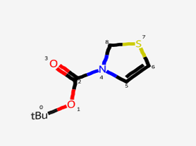 CC(C)(C)OC(=O)N1C=CSC1